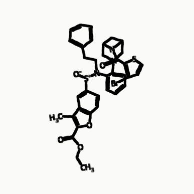 CCOC(=O)c1oc2ccc([S+]([O-])N(CCc3ccccc3)c3ccccc3N3CC4CC(C3)N4C(=O)c3sccc3Br)cc2c1C